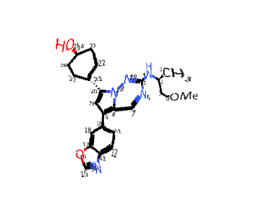 COC[C@H](C)Nc1ncc2c(-c3ccc4ncoc4c3)cc([C@H]3CC[C@H](O)CC3)n2n1